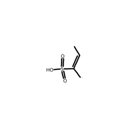 [CH2]C(=CC)S(=O)(=O)O